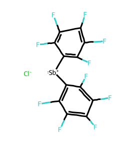 Fc1c(F)c(F)[c]([Sb+][c]2c(F)c(F)c(F)c(F)c2F)c(F)c1F.[Cl-]